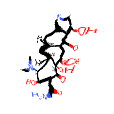 CN(C)[C@@H]1C(O)=C(C(N)=O)C(=O)[C@@]2(O)C(O)=C3C(=O)c4c(O)cncc4C[C@H]3C[C@@H]12